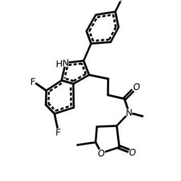 CC1CC(N(C)C(=O)CCc2c(-c3ccc(F)cc3)[nH]c3c(F)cc(F)cc23)C(=O)O1